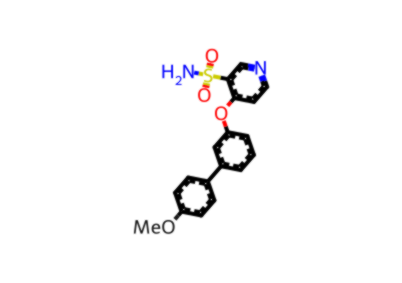 COc1ccc(-c2cccc(Oc3ccncc3S(N)(=O)=O)c2)cc1